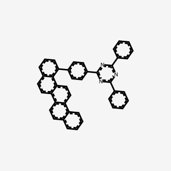 c1ccc(-c2nc(-c3ccccc3)nc(-c3ccc(-c4cccc5ccc6c7ccc8ccccc8c7ccc6c45)cc3)n2)cc1